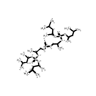 CC(C)CC(C)OP(=S)(OC(C)CC(C)C)SC(C)CO[PH](=S)OCC(C)SP(=S)(OC(C)CC(C)C)OC(C)CC(C)C